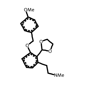 CNCCc1cccc(OCc2ccc(OC)cc2)c1C1OCCO1